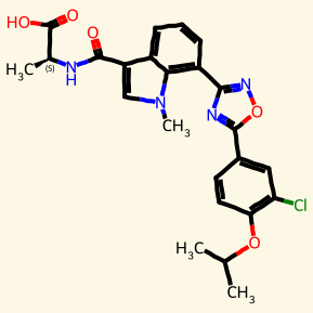 CC(C)Oc1ccc(-c2nc(-c3cccc4c(C(=O)N[C@@H](C)C(=O)O)cn(C)c34)no2)cc1Cl